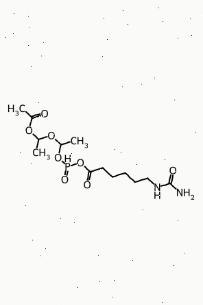 CC(=O)OC(C)OC(C)O[PH](=O)OC(=O)CCCCCNC(N)=O